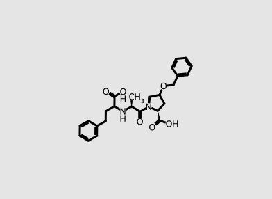 C[C@H](NC(CCc1ccccc1)C(=O)O)C(=O)N1CC(OCc2ccccc2)C[C@H]1C(=O)O